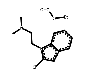 CCOC=O.CN(C)CCn1c(Cl)cc2ccccc21